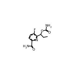 CCC(OC(N)=O)c1nc(C(N)=O)ccc1F